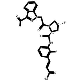 CC(=O)c1nn(CC(=O)N2C[C@H](F)C[C@H]2C(=O)Nc2cccc(C=CC(=O)O)c2F)c2ccccc12